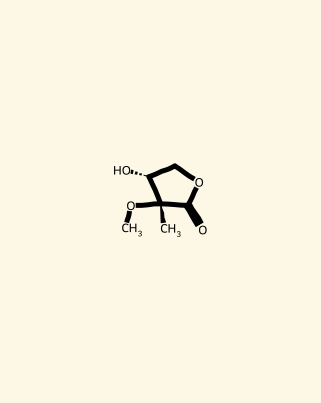 CO[C@@]1(C)C(=O)OC[C@H]1O